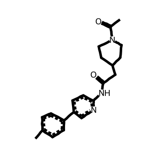 CC(=O)N1CCC(CC(=O)Nc2ccc(-c3ccc(C)cc3)cn2)CC1